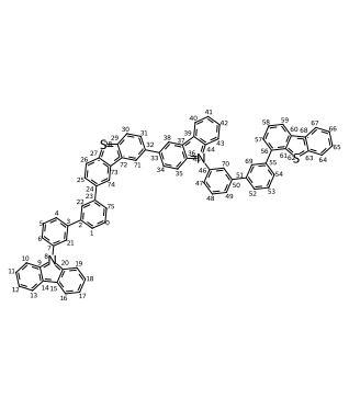 c1cc(-c2cccc(-n3c4ccccc4c4ccccc43)c2)cc(-c2ccc3sc4ccc(-c5ccc6c(c5)c5ccccc5n6-c5cccc(-c6cccc(-c7cccc8c7sc7ccccc78)c6)c5)cc4c3c2)c1